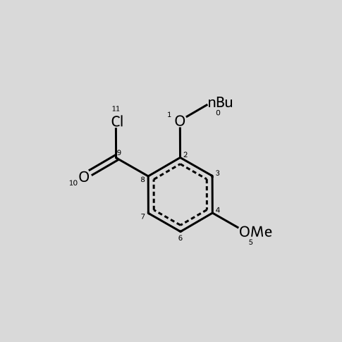 CCCCOc1cc(OC)ccc1C(=O)Cl